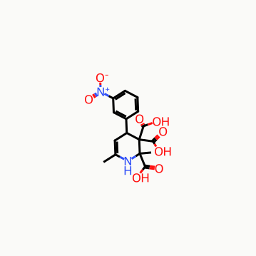 CC1=CC(c2cccc([N+](=O)[O-])c2)C(C(=O)O)(C(=O)O)C(C)(C(=O)O)N1